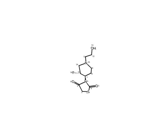 O=C1CSC(=O)N1[C@@H]1CCN(CCO)C[C@H]1F